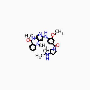 CCOc1cc(C(=O)N2CC[C@@H](NC(C)C)C2)ccc1Nc1cc2c(cn1)N(C)C(=O)c1ccccc1N2C